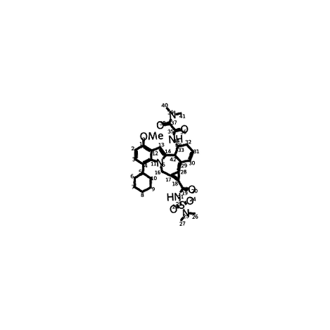 COc1ccc(C2CCCCC2)c2c1cc1n2CC2=C(C(=O)NS(=O)(=O)N(C)C)C2=C2C=CC[C@@H](NC(=O)C(=O)N(C)C)C21